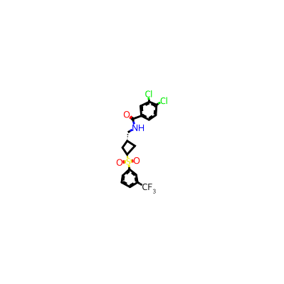 O=C(NC[C@H]1C[C@H](S(=O)(=O)c2cccc(C(F)(F)F)c2)C1)c1ccc(Cl)c(Cl)c1